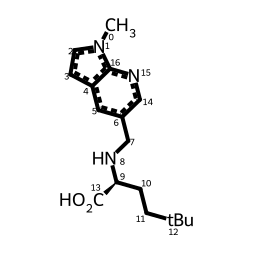 Cn1ccc2cc(CN[C@@H](CCC(C)(C)C)C(=O)O)cnc21